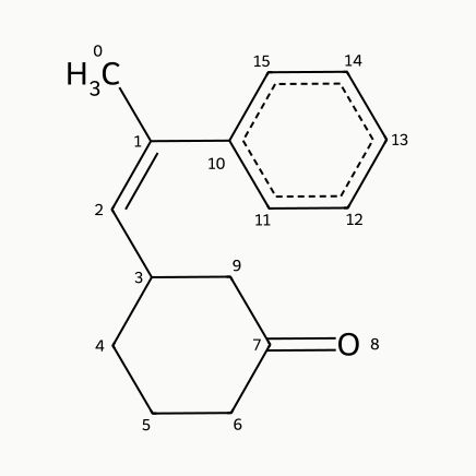 CC(=CC1CCCC(=O)C1)c1ccccc1